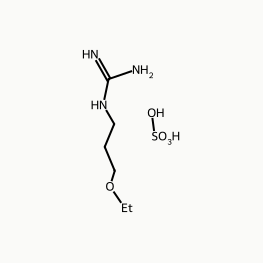 CCOCCCNC(=N)N.O=S(=O)(O)O